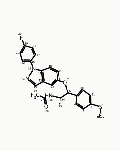 CCSc1ccc([C@H](Oc2ccc3c(cnn3-c3ccc(F)cc3)c2)[C@H](C)NC(=O)C(F)(F)F)cc1